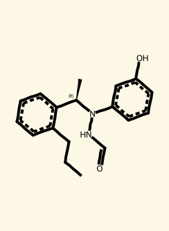 CCCc1ccccc1[C@@H](C)N(NC=O)c1cccc(O)c1